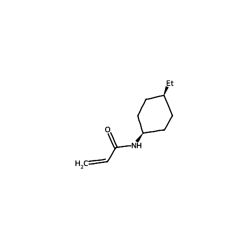 C=CC(=O)N[C@H]1CC[C@@H](CC)CC1